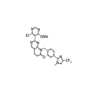 CCc1ncnc(OC)c1-c1ncc2ccc(=O)n(Cc3ccc(-c4nc(C(F)(F)F)cn4C)cc3)c2n1